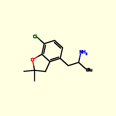 CC1(C)Cc2c(CC(N)C(C)(C)C)ccc(Cl)c2O1